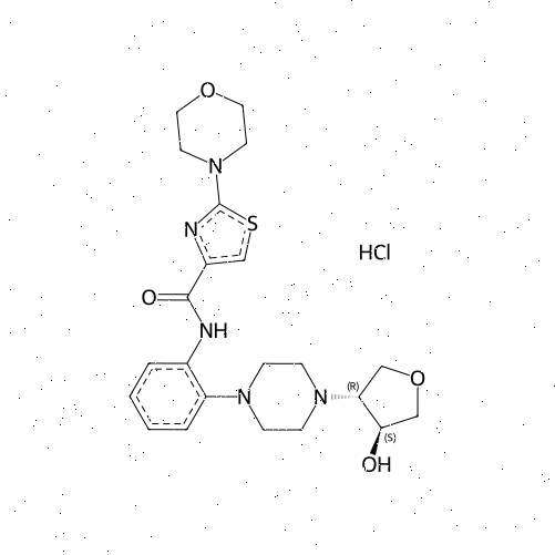 Cl.O=C(Nc1ccccc1N1CCN([C@@H]2COC[C@H]2O)CC1)c1csc(N2CCOCC2)n1